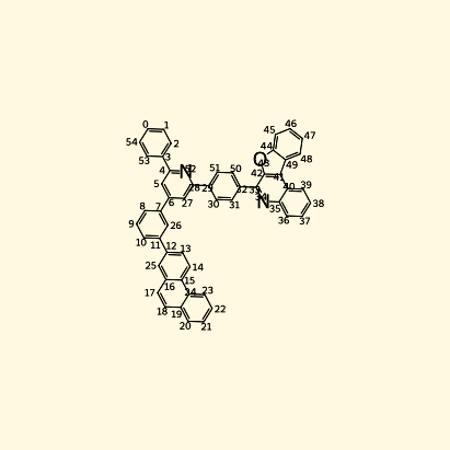 c1ccc(-c2cc(-c3cccc(-c4ccc5c(ccc6ccccc65)c4)c3)cc(-c3ccc(-c4nc5ccccc5c5c4oc4ccccc45)cc3)n2)cc1